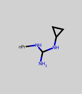 CCCNC(N)NC1CC1